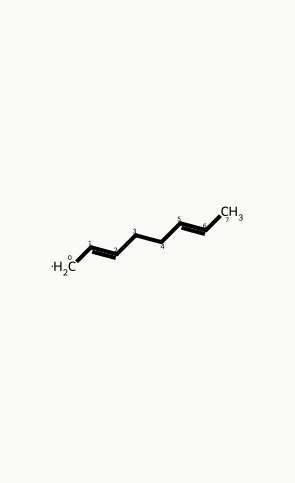 [CH2]C=CCC/C=C/C